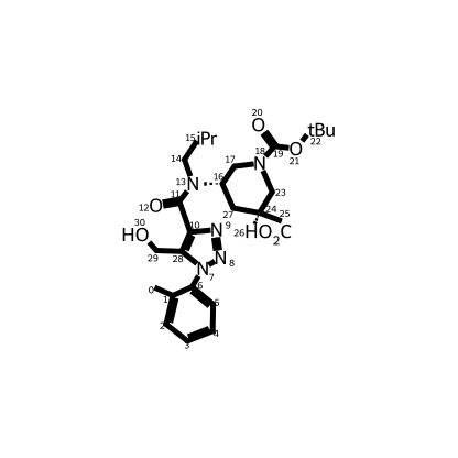 Cc1ccccc1-n1nnc(C(=O)N(CC(C)C)[C@@H]2CN(C(=O)OC(C)(C)C)C[C@](C)(C(=O)O)C2)c1CO